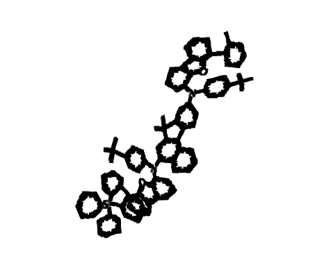 Cc1ccccc1-c1cccc2c1oc1c(N(c3ccc(C(C)(C)C)cc3)c3ccc4c(c3)C(C)(C)c3cc(N(c5ccc(C(C)(C)C)cc5)c5cccc6c5oc5c(-c7ccccc7[Si](c7ccccc7)(c7ccccc7)c7ccccc7)cccc56)c5ccccc5c3-4)cccc12